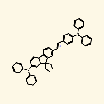 CCC1(CC)c2cc(/C=C/c3ccc(N(c4ccccc4)c4ccccc4)cc3)ccc2C2C=CC(N(C3=CCCC=C3)C3C=CC=CC3)=CC21